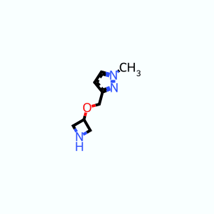 Cn1ccc(COC2CNC2)n1